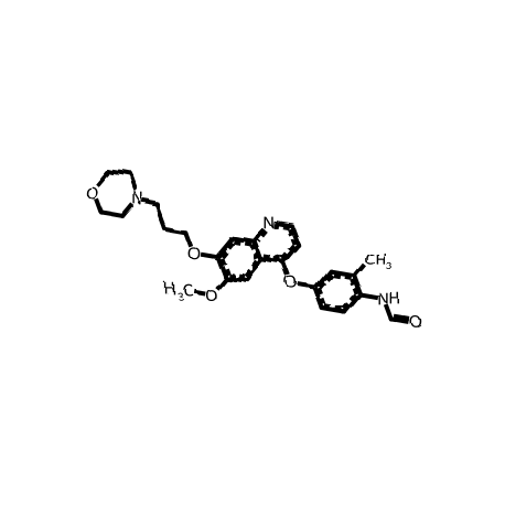 COc1cc2c(Oc3ccc(NC=O)c(C)c3)ccnc2cc1OCCCN1CCOCC1